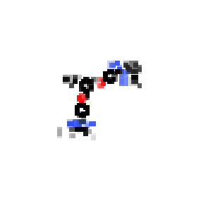 Cc1cc(COc2ccc(C(=N)NC(C)C)cc2)cc(COc2ccc(C(=N)NC(C)C)cc2F)c1